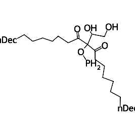 CCCCCCCCCCCCCCCCC(=O)C(OP)(C(=O)CCCCCCCCCCCCCCCC)C(O)CO